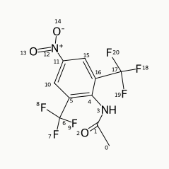 CC(=O)Nc1c(C(F)(F)F)cc([N+](=O)[O-])cc1C(F)(F)F